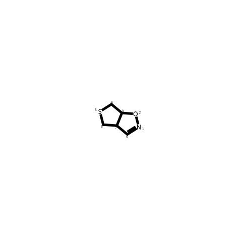 C1=NOC2CSCC12